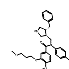 COCCCOc1cc(C(=O)N(C[C@H]2CNC[C@@H]2Cc2ccccc2)c2ccc(Cl)cc2)ccc1OC